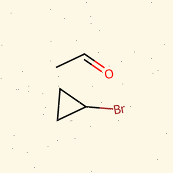 BrC1CC1.CC=O